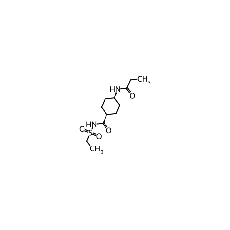 CCC(=O)N[C@H]1CC[C@@H](C(=O)NS(=O)(=O)CC)CC1